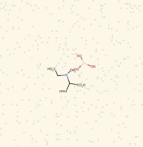 CCCCCCC(C(=O)O)N(C)CC(=O)O.OB(O)O